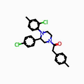 Cc1ccc(CC(=O)N2CCN(c3ccc(C)cc3Cl)C(c3ccc(Cl)cc3)C2)cc1